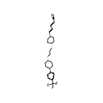 N#CC=CC=C[C@H]1CC[C@H](CCCC[C@H]2CC[C@H](c3ccc(C(F)(F)F)cc3)CC2)CC1